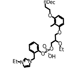 CCCCCCCCCCCCOc1cccc(OCC(COP(=O)(O)Oc2ccccc2Cn2cc[n+](CC)c2)OCC)c1C